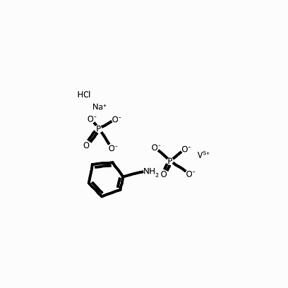 Cl.Nc1ccccc1.O=P([O-])([O-])[O-].O=P([O-])([O-])[O-].[Na+].[V+5]